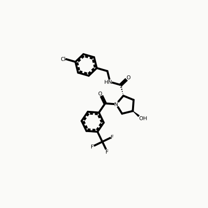 O=C(NCc1ccc(Cl)cc1)[C@@H]1C[C@@H](O)CN1C(=O)c1cccc(C(F)(F)F)c1